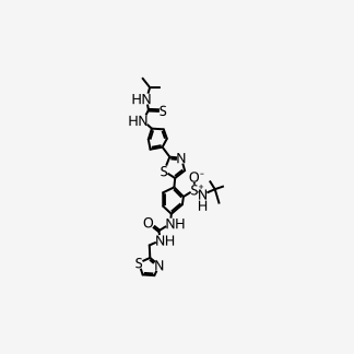 CC(C)NC(=S)Nc1ccc(-c2ncc(-c3ccc(NC(=O)NCc4nccs4)cc3[S+]([O-])NC(C)(C)C)s2)cc1